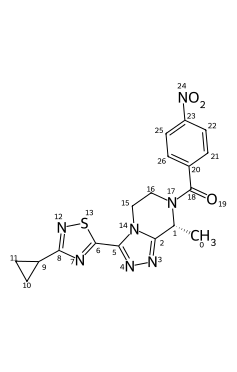 C[C@@H]1c2nnc(-c3nc(C4CC4)ns3)n2CCN1C(=O)c1ccc([N+](=O)[O-])cc1